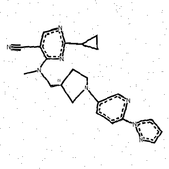 CN(C[C@H]1CCN(c2ccc(-n3cccn3)nc2)C1)c1nc(C2CC2)ncc1C#N